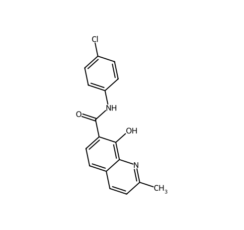 Cc1ccc2ccc(C(=O)Nc3ccc(Cl)cc3)c(O)c2n1